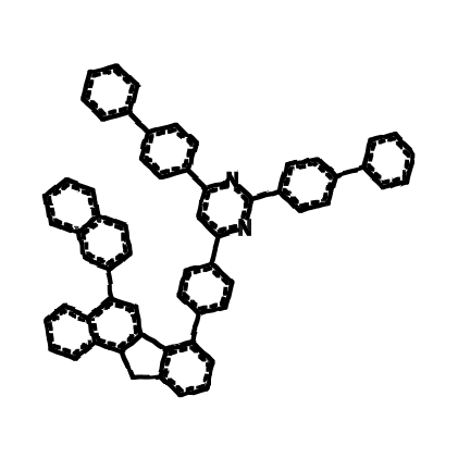 c1ccc(-c2ccc(-c3cc(-c4ccc(-c5cccc6c5-c5cc(-c7ccc8ccccc8c7)c7ccccc7c5C6)cc4)nc(-c4ccc(-c5ccccc5)cc4)n3)cc2)cc1